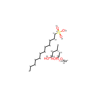 CCCCCCCCCCCCS(=O)(=O)[O-].CCCCO.CCO.O.[Na+]